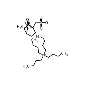 CC1(C)C2CCC1(CS(=O)(=O)[O-])C(=O)C2.CCCC[N+](CCCC)(CCCC)CCCC